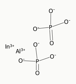 O=P([O-])([O-])[O-].O=P([O-])([O-])[O-].[Al+3].[In+3]